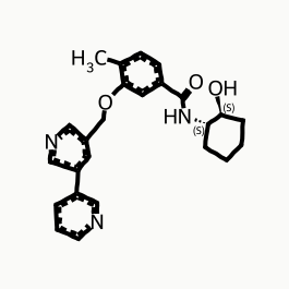 Cc1ccc(C(=O)N[C@H]2CCCC[C@@H]2O)cc1OCc1cncc(-c2cccnc2)c1